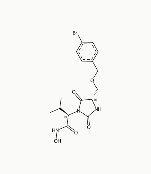 CC(C)[C@H](C(=O)NO)N1C(=O)N[C@@H](COCc2ccc(Br)cc2)C1=O